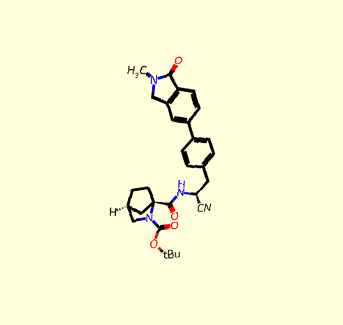 CN1Cc2cc(-c3ccc(C[C@@H](C#N)NC(=O)[C@@]45CC[C@H](CN4C(=O)OC(C)(C)C)C5)cc3)ccc2C1=O